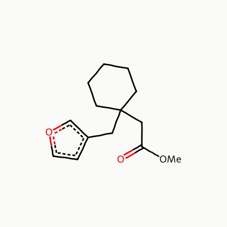 COC(=O)CC1(Cc2ccoc2)CCCCC1